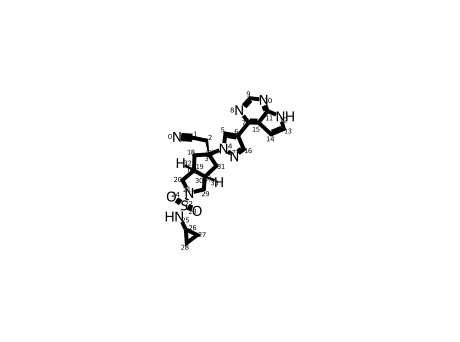 N#CC[C@]1(n2cc(-c3ncnc4[nH]ccc34)cn2)C[C@H]2CN(S(=O)(=O)NC3CC3)C[C@H]2C1